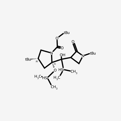 C[SiH](C)O[C@]1(C(O)(C2CN(C(C)(C)C)C2=O)[SiH](C)C)C[C@H](C(C)(C)C)CN1C(=O)OC(C)(C)C